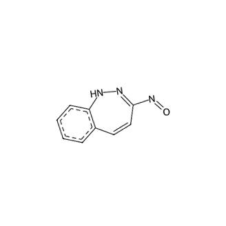 O=NC1=NNc2ccccc2C=C1